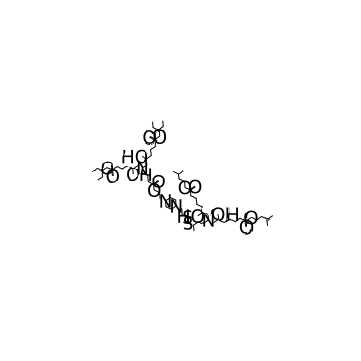 CCC(CC)OC(=O)CCCC(O)CN(CCCC(=O)OCCN1CCN(CCSSC(C)CCN(CC(O)CCCCC(=O)OCCC(C)C)CC(O)CCCCC(=O)OCCC(C)C)CC1)CC(O)CCCC(=O)OC(CC)CC